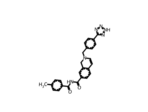 Cc1ccc(C(=O)NC(=O)c2ccc3c(c2)CN(Cc2ccc(-c4nn[nH]n4)cc2)C=C3)cc1